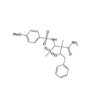 CCC(Cc1ccccc1)C(C)(C(N)=O)C(NS(=O)(=O)c1ccc(OC)cc1)S(C)(=O)=O